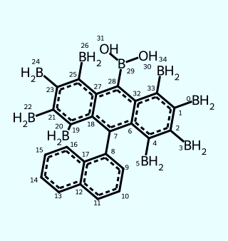 Bc1c(B)c(B)c2c(-c3cccc4ccccc34)c3c(B)c(B)c(B)c(B)c3c(B(O)O)c2c1B